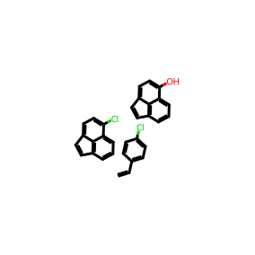 C=Cc1ccc(Cl)cc1.Clc1ccc2c3c(cccc13)C=C2.Oc1ccc2c3c(cccc13)C=C2